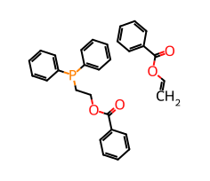 C=COC(=O)c1ccccc1.O=C(OCCP(c1ccccc1)c1ccccc1)c1ccccc1